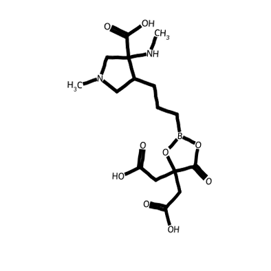 CNC1(C(=O)O)CN(C)CC1CCCB1OC(=O)C(CC(=O)O)(CC(=O)O)O1